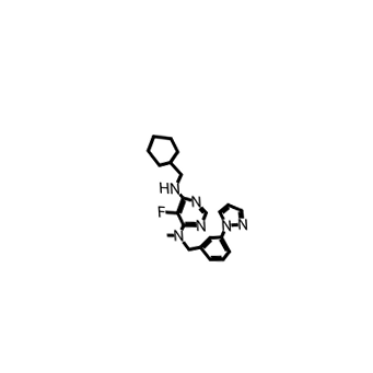 CN(Cc1cccc(-n2cccn2)c1)c1ncnc(NCC2CCCCC2)c1F